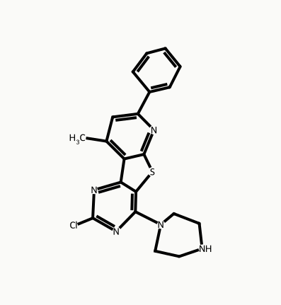 Cc1cc(-c2ccccc2)nc2sc3c(N4CCNCC4)nc(Cl)nc3c12